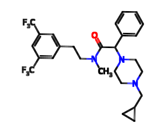 CN(CCc1cc(C(F)(F)F)cc(C(F)(F)F)c1)C(=O)C(c1ccccc1)N1CCN(CC2CC2)CC1